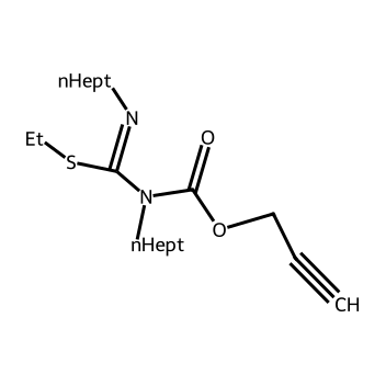 C#CCOC(=O)N(CCCCCCC)C(=NCCCCCCC)SCC